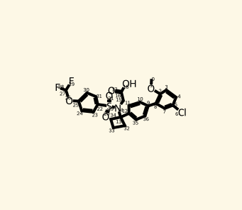 COc1ccc(Cl)cc1-c1ccc(C2(N(CC(=O)O)S(=O)(=O)c3ccc(OC(F)F)cc3)CCC2)cc1